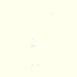 Cc1cc(CN(C)CC(=O)O)cc(-c2noc(-c3ccc(-c4ccccc4C(F)(F)F)c(Cl)c3)n2)c1